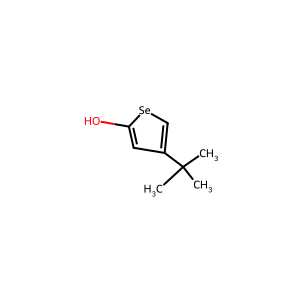 CC(C)(C)c1c[se]c(O)c1